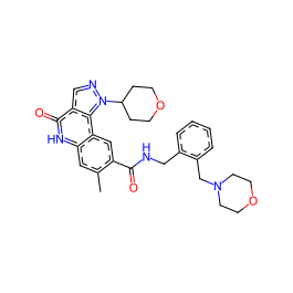 Cc1cc2[nH]c(=O)c3cnn(C4CCOCC4)c3c2cc1C(=O)NCc1ccccc1CN1CCOCC1